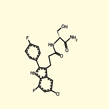 NC(=O)[C@@H](CO)NC(=O)CCc1c(-c2ccc(F)cc2)[nH]c2c(F)cc(Cl)cc12